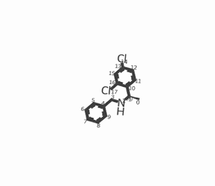 C[C@@H](NCc1ccccc1)c1ccc(Cl)cc1Cl